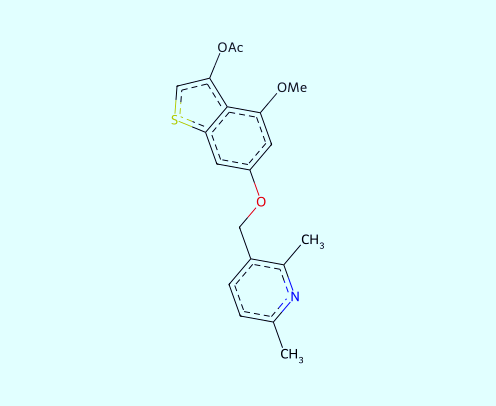 COc1cc(OCc2ccc(C)nc2C)cc2scc(OC(C)=O)c12